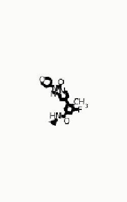 Cc1c(F)cc(C(=O)NC2CC2)cc1-c1ccn2c(=O)n(C3CCOCC3)nc2c1